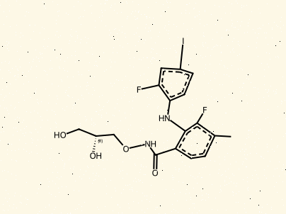 Cc1ccc(C(=O)NOC[C@H](O)CO)c(Nc2ccc(I)cc2F)c1F